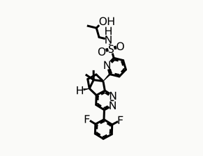 CC(O)CNS(=O)(=O)c1cccc([C@@]23CC[C@@H](c4cc(-c5c(F)cccc5F)nnc42)C3(C)C)n1